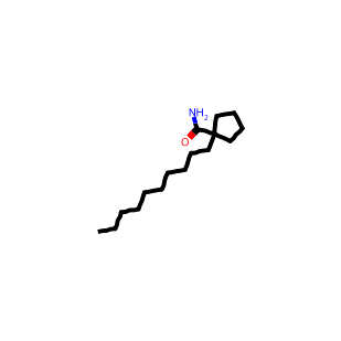 CCCCCCCCCCC1(C(N)=O)CCCC1